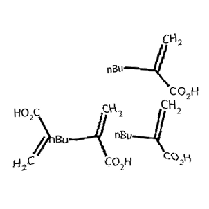 C=C(CCCC)C(=O)O.C=C(CCCC)C(=O)O.C=C(CCCC)C(=O)O.C=CC(=O)O